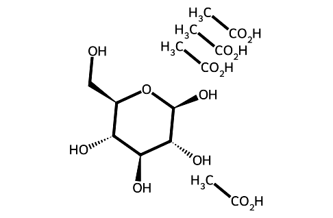 CC(=O)O.CC(=O)O.CC(=O)O.CC(=O)O.OC[C@H]1O[C@@H](O)[C@H](O)[C@@H](O)[C@@H]1O